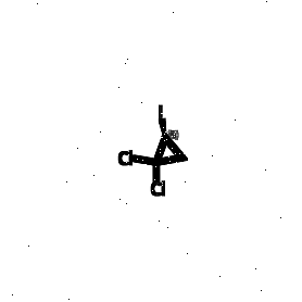 ClC1(Cl)C[C@@H]1I